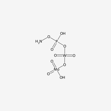 NOP(=O)(O)[O][W](=[O])(=[O])[O][Mo](=[O])(=[O])[OH]